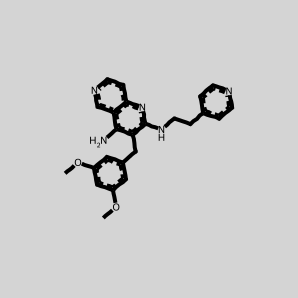 COc1cc(Cc2c(NCCc3ccncc3)nc3ccncc3c2N)cc(OC)c1